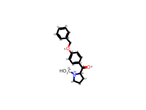 O=C(c1ccc(OCc2ccccc2)cc1)C1CCCN1C(=O)O